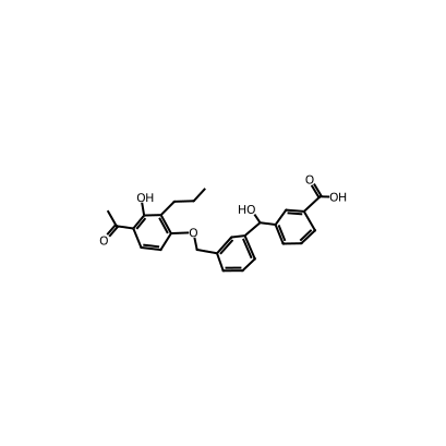 CCCc1c(OCc2cccc(C(O)c3cccc(C(=O)O)c3)c2)ccc(C(C)=O)c1O